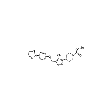 CC(C)(C)OC(=O)N1CCC(n2ncc(COc3ccc(-n4nccn4)cc3)c2C#N)CC1